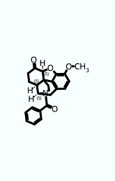 COc1ccc2c3c1O[C@@H]1C(=O)CC[C@@H]4[C@H](C2)N(C(=O)c2ccccc2)CCC314